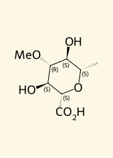 CO[C@@H]1[C@@H](O)[C@H](C)O[C@H](C(=O)O)[C@H]1O